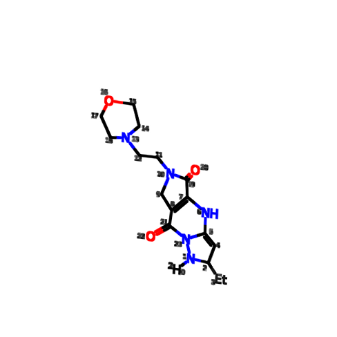 [2H]N1C(CC)C=C2NC3=C(CN(CCN4CCOCC4)C3=O)C(=O)N21